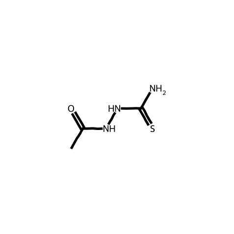 CC(=O)NNC(N)=S